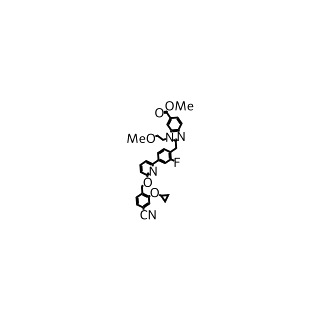 COCCn1c(Cc2ccc(-c3cccc(OCc4ccc(C#N)cc4OC4CC4)n3)cc2F)nc2ccc(C(=O)OC)cc21